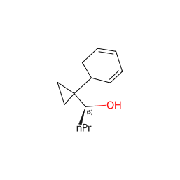 CCC[C@H](O)C1(C2C=CC=CC2)CC1